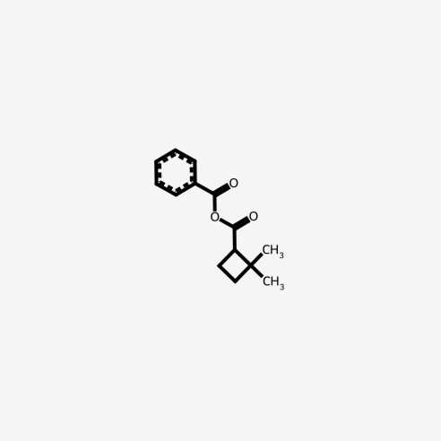 CC1(C)CCC1C(=O)OC(=O)c1ccccc1